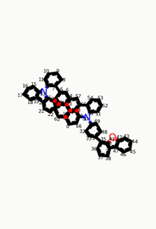 c1cc(-c2ccc(-c3ccccc3-n3c4ccccc4c4ccccc43)cc2)cc(N(c2ccc(-c3cccc4c3oc3ccccc34)cc2)c2ccccc2-c2ccc3ccccc3c2)c1